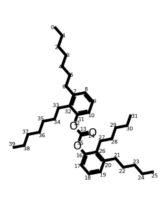 CCCCCCCc1cccc(OC(=O)Oc2cccc(CCCCC)c2CCCCC)c1CCCCCCC